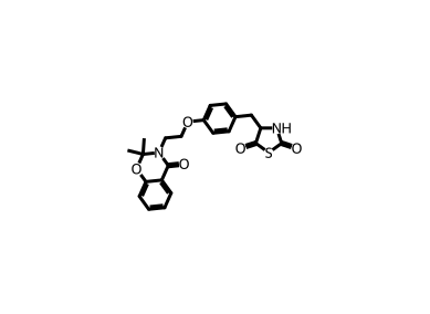 CC1(C)Oc2ccccc2C(=O)N1CCOc1ccc(CC2NC(=O)SC2=O)cc1